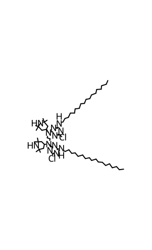 CCCCCCCCCCCCCCCCCCNc1nc(Cl)nc(N(CCN(c2nc(Cl)nc(NCCCCCCCCCCCCCCCCCC)n2)C2CC(C)(C)NC(C)(C)C2)C2CC(C)(C)NC(C)(C)C2)n1